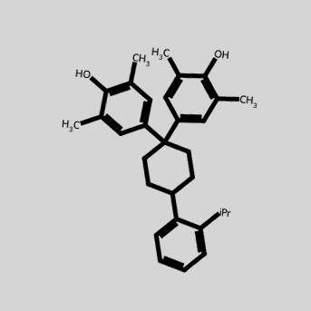 Cc1cc(C2(c3cc(C)c(O)c(C)c3)CCC(c3ccccc3C(C)C)CC2)cc(C)c1O